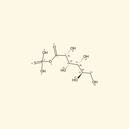 O=C(OP(O)(O)=S)[C@H](O)[C@@H](O)[C@H](O)[C@H](O)CO